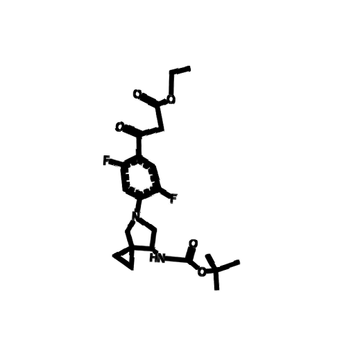 CCOC(=O)CC(=O)c1cc(F)c(N2C[C@@H](NC(=O)OC(C)(C)C)C3(CC3)C2)cc1F